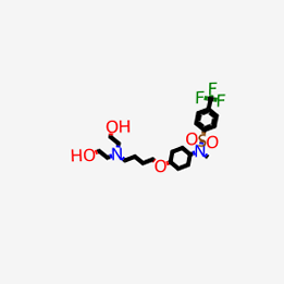 CN(C1CCC(OCCCCN(CCO)CCO)CC1)S(=O)(=O)c1ccc(C(F)(F)F)cc1